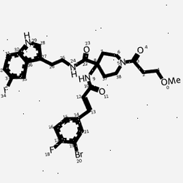 COCCC(=O)N1CCC(NC(=O)/C=C/c2ccc(F)c(Br)c2)(C(=O)NCCc2c[nH]c3ccc(F)cc23)CC1